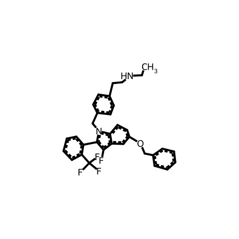 CCNCCc1ccc(Cn2c(-c3ccccc3C(F)(F)F)c(F)c3cc(OCc4ccccc4)ccc32)cc1